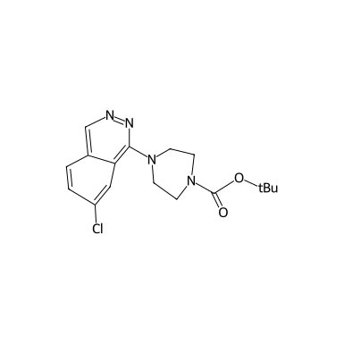 CC(C)(C)OC(=O)N1CCN(c2nncc3ccc(Cl)cc23)CC1